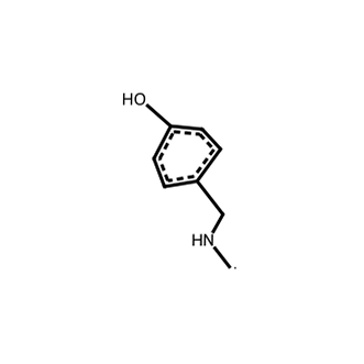 [CH2]NCc1ccc(O)cc1